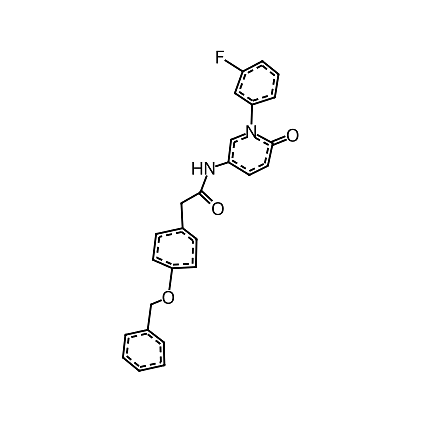 O=C(Cc1ccc(OCc2ccccc2)cc1)Nc1ccc(=O)n(-c2cccc(F)c2)c1